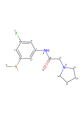 CSc1cc(F)cc(NC(=O)CN2CCCC2)c1